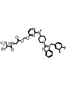 CC(C)C(N)C(=O)NCC(=O)OCOc1ccnc(N(C)C2CCN(c3nc4ccccc4n3CC3=CC(C)C(F)C=C3)CC2)n1